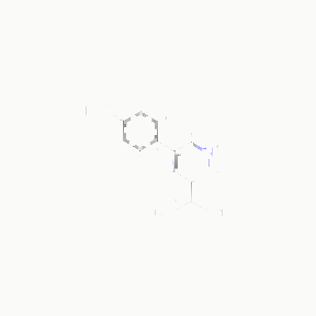 CCCC(C/C=C(\C=N/C)c1ccc(C)cc1)CCC